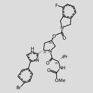 COC(=O)N[C@H](C(=O)N1C[C@H](OC(=O)N2Cc3cccc(F)c3C2)C[C@H]1c1nc(-c2ccc(Br)cc2)c[nH]1)C(C)C